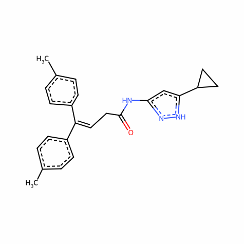 Cc1ccc(C(=CCC(=O)Nc2cc(C3CC3)[nH]n2)c2ccc(C)cc2)cc1